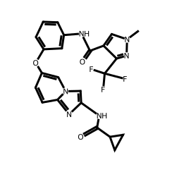 Cn1cc(C(=O)Nc2cccc(Oc3ccc4nc(NC(=O)C5CC5)cn4c3)c2)c(C(F)(F)F)n1